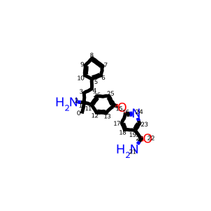 CC(N)(CCc1ccccc1)c1ccc(Oc2ccc(C(N)=O)cn2)cc1